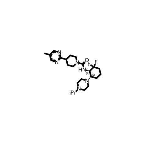 Cc1cnc(C2CCN(C(=O)N[C@@H]3[C@@H](N4CCN(C(C)C)CC4)CCCC3(F)F)CC2)nc1